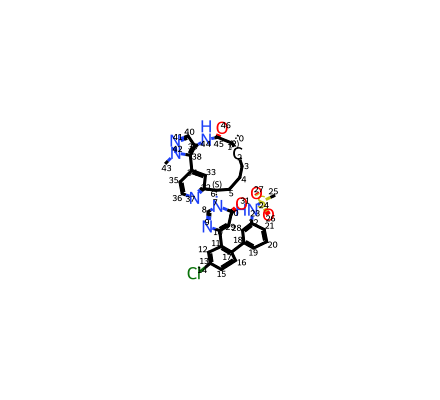 C[C@@H]1CCCC[C@H](n2cnc(-c3cc(Cl)ccc3-c3cccc(NS(C)(=O)=O)c3)cc2=O)c2cc(ccn2)-c2c(cnn2C)NC1=O